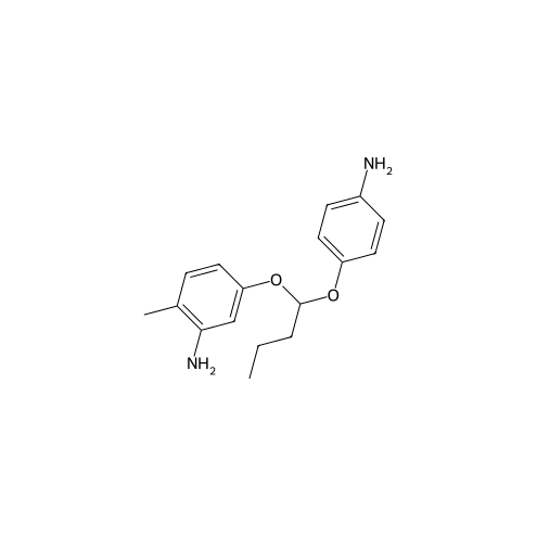 CCCC(Oc1ccc(N)cc1)Oc1ccc(C)c(N)c1